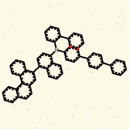 c1ccc(-c2ccc(-c3ccc(N(c4ccccc4-c4ccccc4)c4ccc(-c5cc6ccc7ccccc7c6c6ccccc56)c5ccccc45)cc3)cc2)cc1